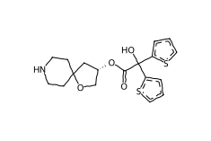 O=C(O[C@@H]1COC2(CCNCC2)C1)C(O)(c1cccs1)c1cccs1